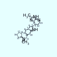 Cc1nc2c(-c3cc4ccc(CN(C)C5CCCC5)cc4[nH]3)ccnc2[nH]1